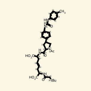 CC(=O)N1CC(c2ccc(NC(=O)Nc3ccc(C)cc3)cc2)CC1C(=O)NC(CC=CCC(NC(=O)CC(C)(C)C)C(=O)O)C(=O)O